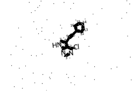 Clc1ncnc2[nH]cc(C#Cc3ccccc3)c12